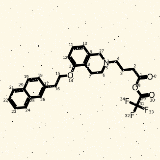 O=C(CCCN1CCc2c(cccc2OCCc2ccc3ccccc3c2)C1)OC(=O)C(F)(F)F